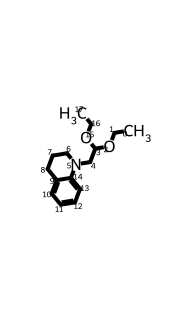 CCOC(CN1CCCc2ccccc21)OCC